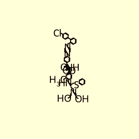 Cc1cc(S(=O)(=O)NC(=O)c2ccc(N3CCN(Cc4ccccc4-c4ccc(Cl)cc4)CC3)cc2)ccc1N[C@H](CCN(CCO)CCO)CSc1ccccc1